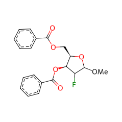 COC1O[C@H](COC(=O)c2ccccc2)[C@H](OC(=O)c2ccccc2)C1F